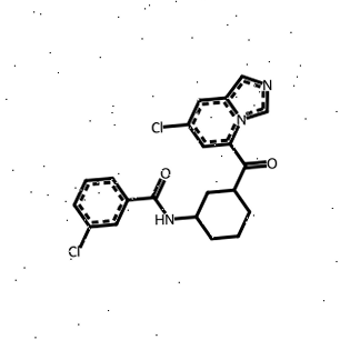 O=C(NC1CCCC(C(=O)c2cc(Cl)cc3cncn23)C1)c1cccc(Cl)c1